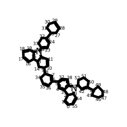 C1=CC2c3cc(C4=CC(C5C=CC6C(C5)C5C=CC=CC5N6C5=CC=C(C6CC=CCC6)CC5)CC=C4)ccc3N(C3C=C(C4CCCCC4)CCC3)C2C=C1